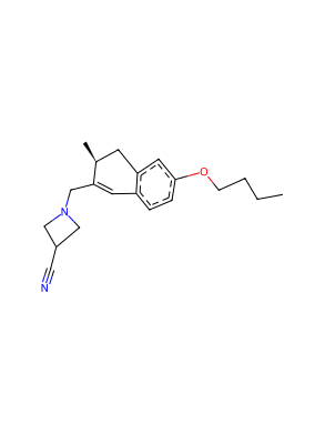 CCCCOc1ccc2c(c1)C[C@H](C)C(CN1CC(C#N)C1)=C2